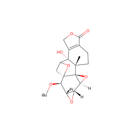 CCC(C)O[C@@H]1[C@@]2(C(C)C)O[C@H]2[C@@H]2O[C@@]23[C@@]2(C)CCC4=C(COC4=O)[C@]2(O)C2C[C@@]13O2